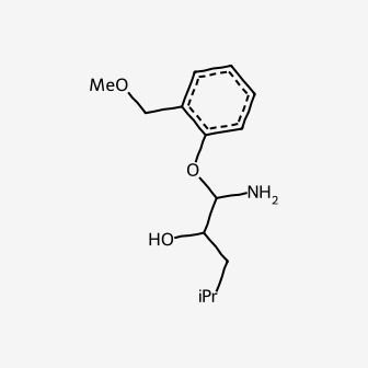 COCc1ccccc1OC(N)C(O)CC(C)C